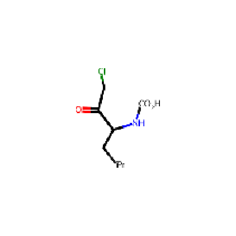 CC(C)CC(NC(=O)O)C(=O)CCl